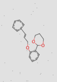 C(=C\c1ccccc1)/COc1ccccc1C1OCCCO1